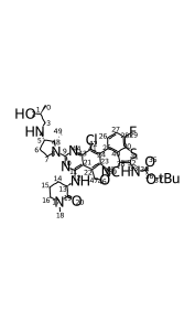 C[C@H](O)CN[C@H]1CCN(c2nc(N[C@@H]3CCCN(C)C3=O)c3c4c(c(-c5ccc(F)c6sc(NC(=O)OC(C)(C)C)c(C#N)c56)c(Cl)c3n2)COC4)[C@H]1C